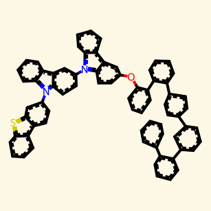 c1ccc(-c2ccccc2-c2cccc(-c3ccc(-c4ccccc4-c4ccccc4Oc4ccc5c(c4)c4ccccc4n5-c4ccc5c(c4)c4ccccc4n5-c4ccc5c(c4)sc4ccccc45)cc3)c2)cc1